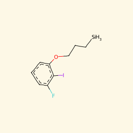 Fc1cccc(OCCC[SiH3])c1I